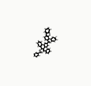 c1ccc(-c2nc(-c3ccccc3)c(-c3ccc(-c4nc5ccccc5c5c4ccc4c6ccccc6sc45)cc3)c(-c3ccccc3)n2)cc1